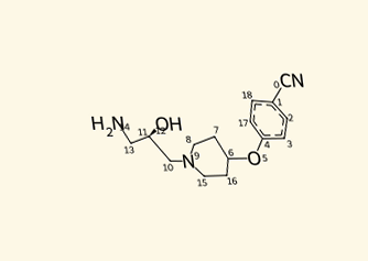 N#Cc1ccc(OC2CCN(C[C@H](O)CN)CC2)cc1